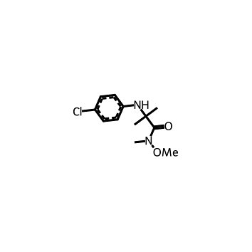 CON(C)C(=O)C(C)(C)Nc1ccc(Cl)cc1